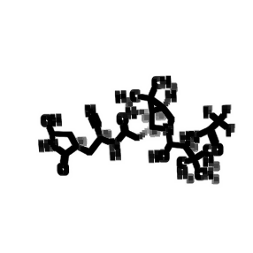 CC(C)(C)[C@H](NC(=O)C(F)(F)F)C(O)N1C[C@H]2[C@@H]([C@H]1CC(=O)N[C@H](C#N)C[C@@H]1CC(O)NC1=O)C2(C)C